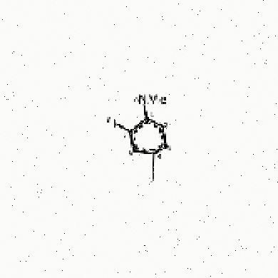 CNc1ccc(I)cc1I